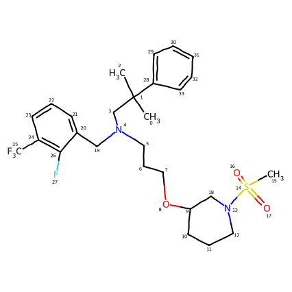 CC(C)(CN(CCCOC1CCCN(S(C)(=O)=O)C1)Cc1cccc(C(F)(F)F)c1F)c1ccccc1